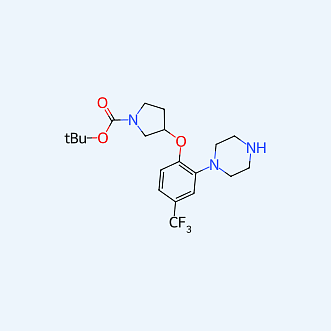 CC(C)(C)OC(=O)N1CCC(Oc2ccc(C(F)(F)F)cc2N2CCNCC2)C1